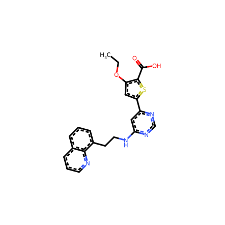 CCOc1cc(-c2cc(NCCc3cccc4cccnc34)ncn2)sc1C(=O)O